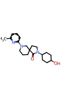 Cc1cccc(N2CCCC3(CCN(C4CCC(O)CC4)C3=O)C2)n1